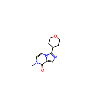 Cn1ccn2c(C3CCOCC3)ncc2c1=O